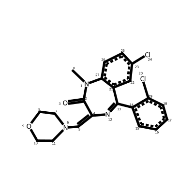 CN1C(=O)C(=CN2CCOCC2)N=C(c2ccccc2Cl)c2cc(Cl)ccc21